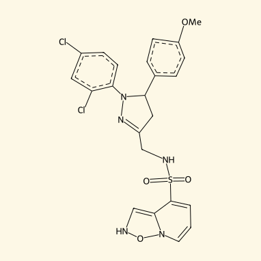 COc1ccc(C2CC(CNS(=O)(=O)C3=CC=CN4ONC=C34)=NN2c2ccc(Cl)cc2Cl)cc1